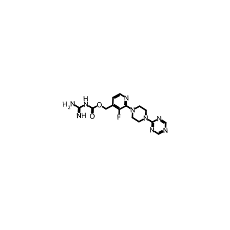 N=C(N)NC(=O)OCc1ccnc(N2CCN(c3ncncn3)CC2)c1F